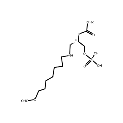 CCCCCCCCCCC(=O)O[C@@H](CNCCCCCCCOC=O)COP(=O)(O)O